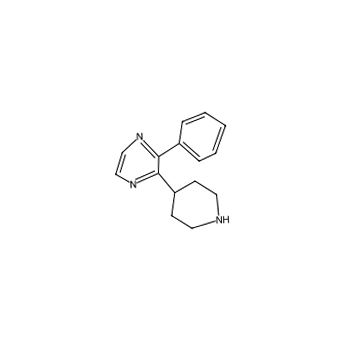 c1ccc(-c2nccnc2C2CCNCC2)cc1